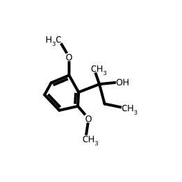 CCC(C)(O)c1c(OC)cccc1OC